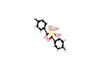 Cc1ccc(C(=O)S(=O)(O)(O)C(=O)c2ccc(C)cc2)cc1